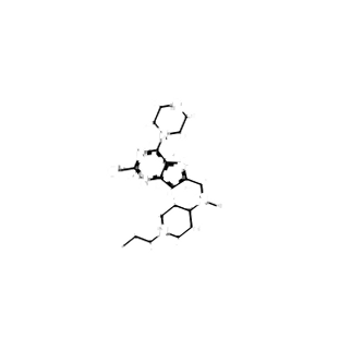 CCCN1CCC(N(C)Cc2cc3nc(Cl)nc(N4CCOCC4)c3s2)CC1